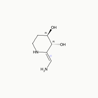 N/C=C1\NCC[C@@H](O)[C@@H]1O